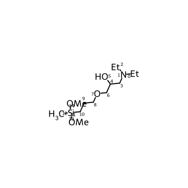 CCN(CC)CC(O)COCCC[Si](C)(OC)OC